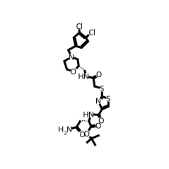 CC(C)(C)OC(=O)[C@H](CC(N)=O)NC(=O)c1csc(SCC(=O)NC[C@H]2CN(Cc3ccc(Cl)c(Cl)c3)CCO2)n1